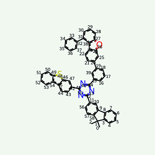 CC1(C)c2ccccc2-c2cc(-c3nc(-c4cccc(-c5ccc6c(c5)oc5cccc(-c7ccccc7)c56)c4)nc(-c4ccc5c(c4)sc4ccccc45)n3)ccc21